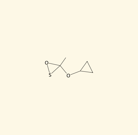 CC1(OC2CC2)OS1